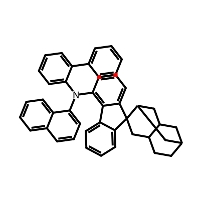 c1ccc(-c2ccccc2N(c2cccc3c2-c2ccccc2C32CC3CCC4CC3CC2C4)c2cccc3ccccc23)cc1